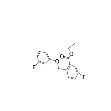 CCOC(=O)c1cc(F)ccc1COc1cccc(F)c1